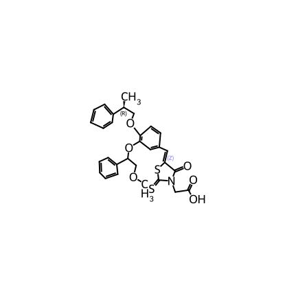 COCC(Oc1cc(/C=C2\SC(=S)N(CC(=O)O)C2=O)ccc1OC[C@H](C)c1ccccc1)c1ccccc1